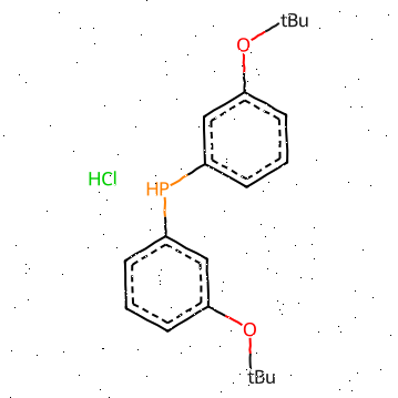 CC(C)(C)Oc1cccc(Pc2cccc(OC(C)(C)C)c2)c1.Cl